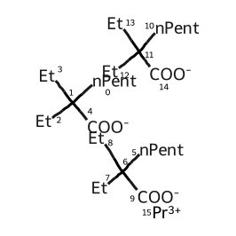 CCCCCC(CC)(CC)C(=O)[O-].CCCCCC(CC)(CC)C(=O)[O-].CCCCCC(CC)(CC)C(=O)[O-].[Pr+3]